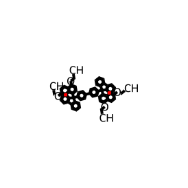 C#CCOc1ccc2c(OCC#C)ccc(C3(c4ccc(-c5ccc(C6(c7ccc(OCC#C)c8ccc(OCC#C)cc78)c7ccccc7-c7ccccc76)cc5)cc4)c4ccccc4-c4ccccc43)c2c1